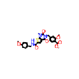 COC(=O)c1ccc(Cn2c(=O)c3cc(C(=O)NCc4ccc(OC)cc4)sc3n(C)c2=O)cc1OC